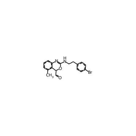 Cc1cccc2c1C(C=O)OC(NCCc1ccc(Br)cc1)=N2